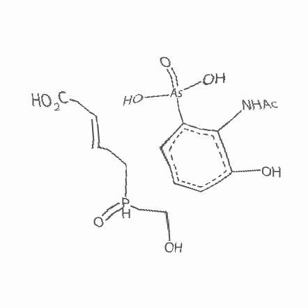 CC(=O)Nc1c(O)cccc1[As](=O)(O)O.O=C(O)C=CC[PH](=O)CO